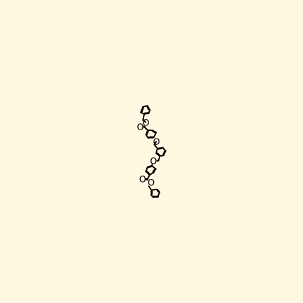 O=C(OCc1ccccc1)c1ccc(OCc2cccc(COc3ccc(C(=O)OCc4ccccc4)cc3)c2)cc1